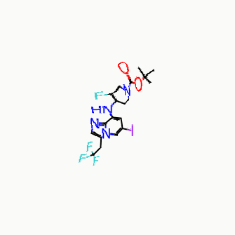 CC(C)(C)OC(=O)N1CCC(Nc2cc(I)cn3c(CC(F)(F)F)cnc23)C(F)C1